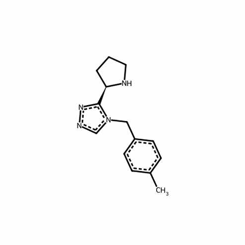 Cc1ccc(Cn2cnnc2[C@H]2CCCN2)cc1